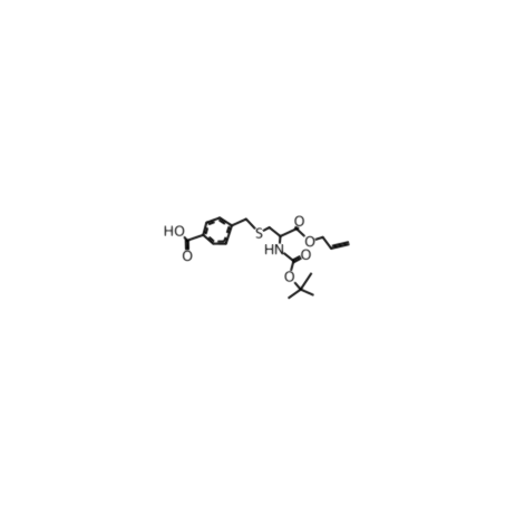 C=CCOC(=O)C(CSCc1ccc(C(=O)O)cc1)NC(=O)OC(C)(C)C